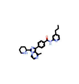 CCCc1ccnc(NC(=O)c2ccc(-c3nc(C4CCCCN4)n4ccnc(C)c34)cc2)c1